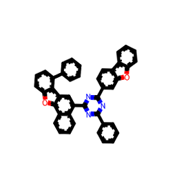 c1ccc(-c2nc(-c3ccc4c(c3)oc3ccccc34)nc(-c3cc4c(oc5cccc(-c6ccccc6)c54)c4ccccc34)n2)cc1